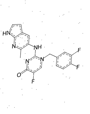 Cc1nc2[nH]ccc2cc1Nc1nc(=O)c(F)cn1Cc1ccc(F)c(F)c1